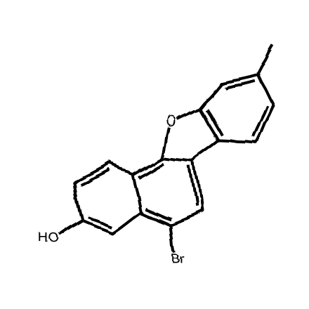 Cc1ccc2c(c1)oc1c3ccc(O)cc3c(Br)cc21